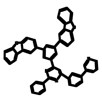 c1ccc(-c2nc(-c3cccc(-c4cccnc4)c3)cc(-c3cc(-c4ccc5oc6ccccc6c5c4)cc(-c4ccc5oc6ccccc6c5c4)c3)n2)cc1